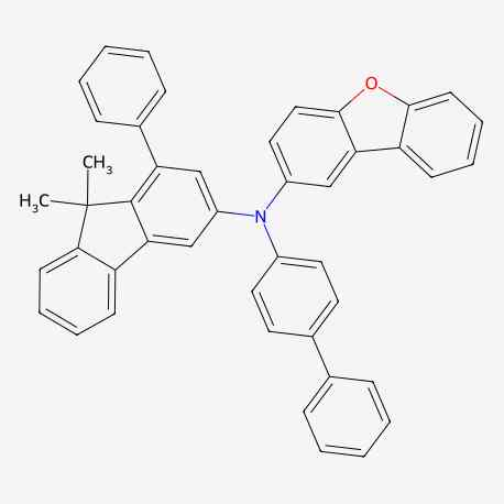 CC1(C)c2ccccc2-c2cc(N(c3ccc(-c4ccccc4)cc3)c3ccc4oc5ccccc5c4c3)cc(-c3ccccc3)c21